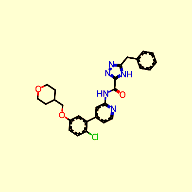 O=C(Nc1cc(-c2cc(OCC3CCOCC3)ccc2Cl)ccn1)c1nnc(Cc2ccccc2)[nH]1